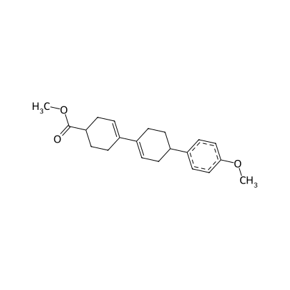 COC(=O)C1CC=C(C2=CCC(c3ccc(OC)cc3)CC2)CC1